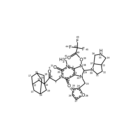 Cn1c2c(c(=O)n(CC(=O)C34CC5CC(CC(C5)C3)C4)c1=O)N(Cc1ncco1)C(N1CCC3CNCC31)N2OC(=O)C(F)(F)F